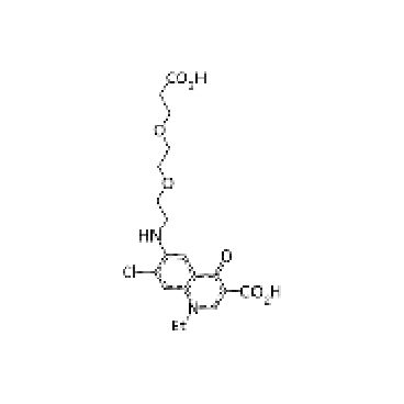 CCn1cc(C(=O)O)c(=O)c2cc(NCCOCCOCCC(=O)O)c(Cl)cc21